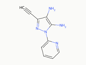 C#Cc1nn(-c2ccccn2)c(N)c1N